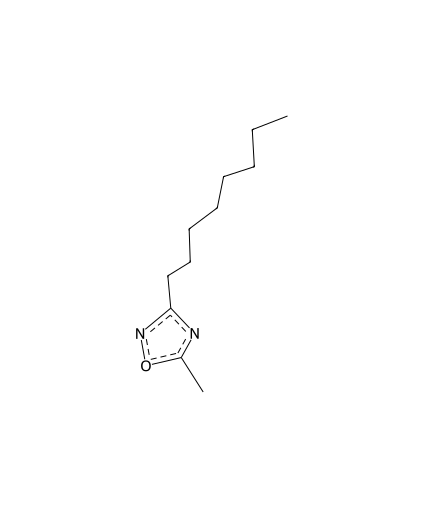 CCCCCCCCc1noc(C)n1